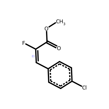 COC(=O)/C(F)=C\c1ccc(Cl)cc1